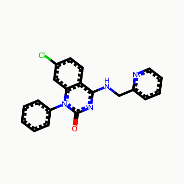 O=c1nc(NCc2ccccn2)c2ccc(Cl)cc2n1-c1ccccc1